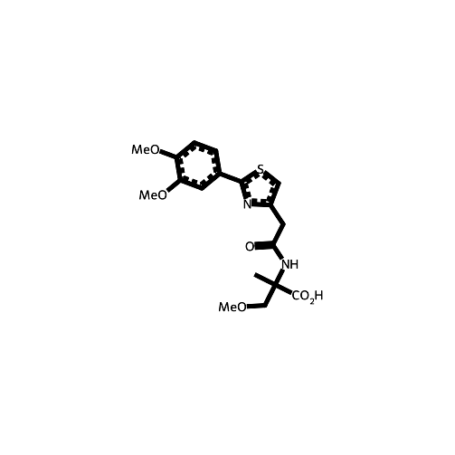 COCC(C)(NC(=O)Cc1csc(-c2ccc(OC)c(OC)c2)n1)C(=O)O